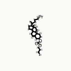 CC(C)CCCC(C)C1CCC2C3CC=C4CC(OC(=O)OCCCI)CC[C@]4(C)C3CCC12C